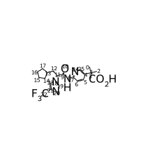 CC(C)(C(=O)O)c1ccc(NC(=O)[C@H](CC2CCCC2)n2cnc(C(F)(F)F)c2)nc1